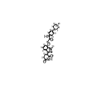 CN1CCC(c2ccc(NC(=O)COc3cccc4c(C5CCC(=O)NC5=O)nn(C)c34)cc2)CC1